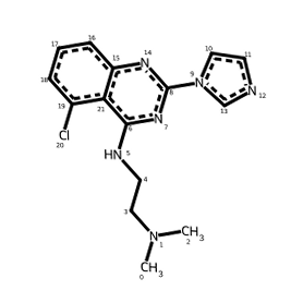 CN(C)CCNc1nc(-n2ccnc2)nc2cccc(Cl)c12